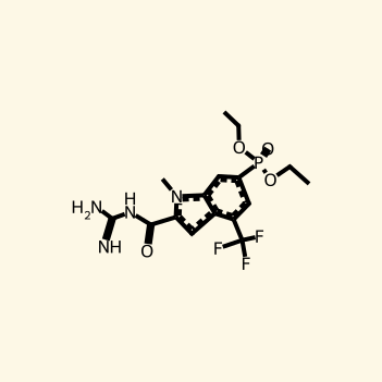 CCOP(=O)(OCC)c1cc(C(F)(F)F)c2cc(C(=O)NC(=N)N)n(C)c2c1